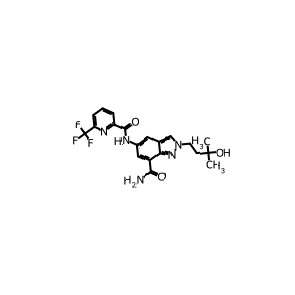 CC(C)(O)CCn1cc2cc(NC(=O)c3cccc(C(F)(F)F)n3)cc(C(N)=O)c2n1